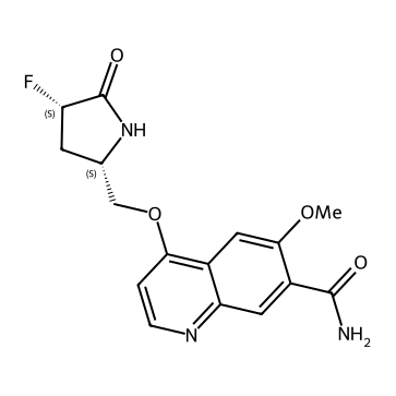 COc1cc2c(OC[C@@H]3C[C@H](F)C(=O)N3)ccnc2cc1C(N)=O